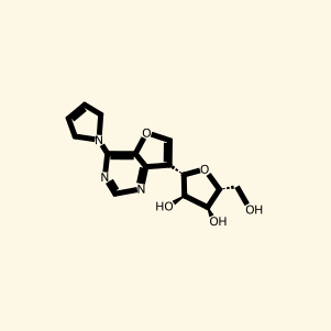 OC[C@H]1O[C@@H](c2coc3c(N4CC=CC4)ncnc23)[C@H](O)[C@@H]1O